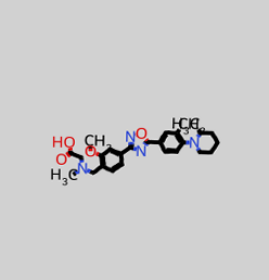 COc1cc(-c2noc(-c3ccc(N4CCCCC4C)c(C)c3)n2)ccc1CN(C)CC(=O)O